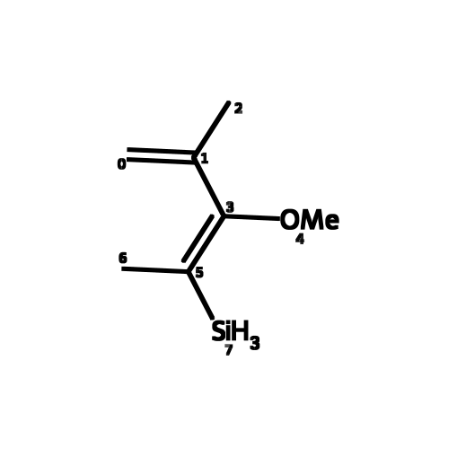 C=C(C)C(OC)=C(C)[SiH3]